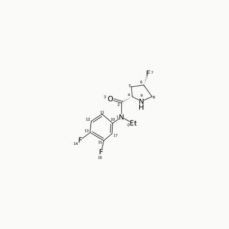 CCN(C(=O)[C@@H]1C[C@H](F)CN1)c1ccc(F)c(F)c1